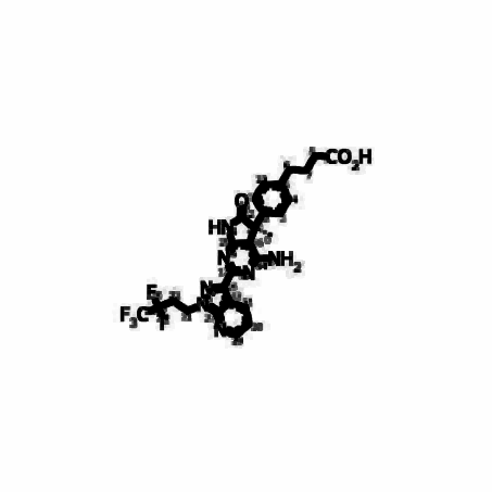 C[C@@]1(c2ccc(CCCC(=O)O)cc2)C(=O)Nc2nc(-c3nn(CCC(F)(F)C(F)(F)F)c4ncccc34)nc(N)c21